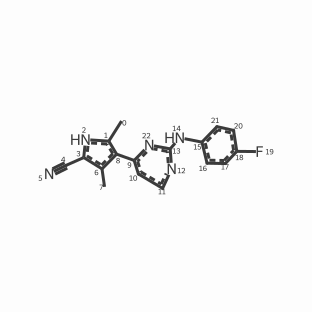 Cc1[nH]c(C#N)c(C)c1-c1ccnc(Nc2ccc(F)cc2)n1